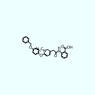 CN1CC(CC(=O)Nc2ccccc2C(=O)O)=CC=C1Oc1ccc(OCc2ccccc2)cc1